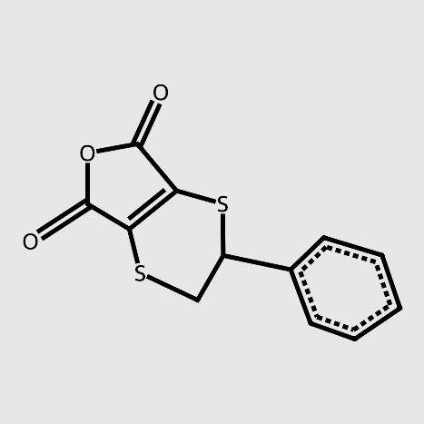 O=C1OC(=O)C2=C1SCC(c1ccccc1)S2